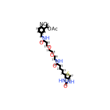 CC(=O)OC(C)c1cc(CNC(=O)CCOCCOCCNC(=O)CCCCC2SCC3NC(=O)NC32)ccc1[N+](=O)[O-]